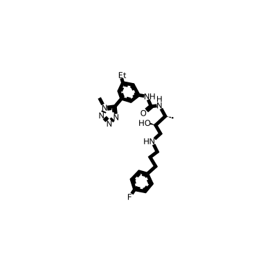 CCc1cc(NC(=O)N[C@H](C)[C@@H](O)CNCCCc2ccc(F)cc2)cc(-c2nnnn2C)c1